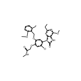 CCc1nc(OC)c2[nH]c(=O)n(-c3cc(OCc4c(F)cccc4OC)c(OCC(=O)NC)cc3Cl)c2n1